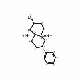 CC[C@H]1CC[C@@H]2C[C@H](c3ccccc3)CC[C@H]2C1